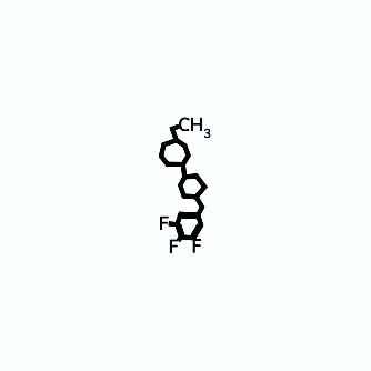 CCC1CCCC(C2CCC(Cc3cc(F)c(F)c(F)c3)CC2)CC1